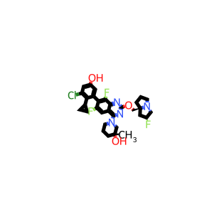 C[C@@]1(O)CCCN(c2nc(OC[C@@]34CCCN3C[C@H](F)C4)nc3c(F)c(-c4cc(O)cc(Cl)c4C4CC4)c(F)cc23)C1